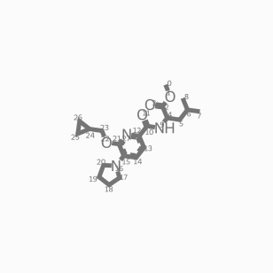 COC(=O)C(CC(C)C)NC(=O)c1ccc(N2CCCC2)c(OCC2CC2)n1